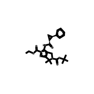 CCOC(=O)n1nc2c(c1NC(=O)[C@@H]1C[C@H]1c1ccccc1)CN(C(=O)OC(C)(C)C)C2(C)C